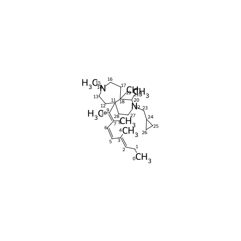 CC/C=C(C)/C=C\C(C)=C(/C)C12CCN(C)CCC1(C)C(C)N(CC1CC1)CC2